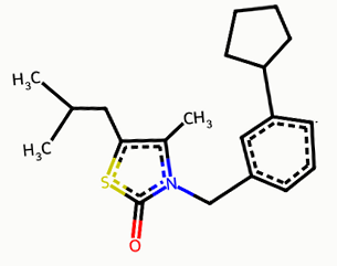 Cc1c(CC(C)C)sc(=O)n1Cc1cc[c]c(C2CCCC2)c1